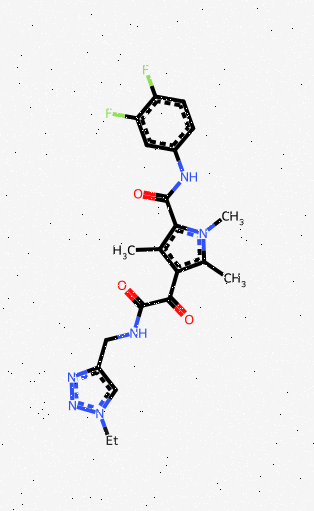 CCn1cc(CNC(=O)C(=O)c2c(C)c(C(=O)Nc3ccc(F)c(F)c3)n(C)c2C)nn1